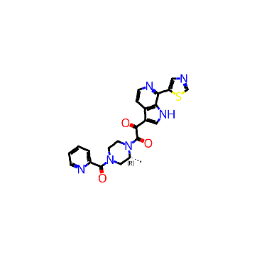 C[C@@H]1CN(C(=O)c2ccccn2)CCN1C(=O)C(=O)c1c[nH]c2c(-c3cncs3)nccc12